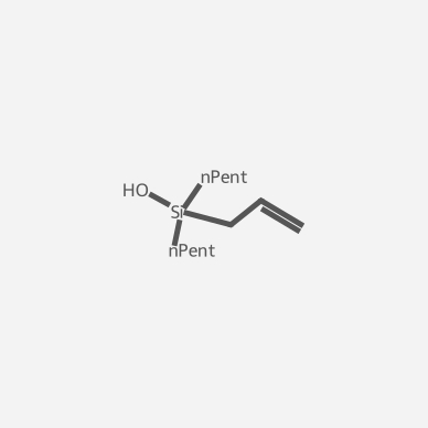 C=CC[Si](O)(CCCCC)CCCCC